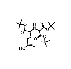 CC(C)(C)OC(=O)C(CCC(=O)O)NC(C(=O)OC(C)(C)C)C(=O)OC(C)(C)C